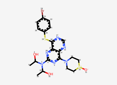 CC(O)N(c1nc(N2CC[S+]([O-])CC2)c2ncnc(Sc3ccc(Br)cc3)c2n1)C(C)O